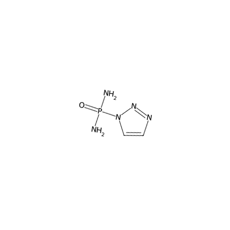 NP(N)(=O)n1ccnn1